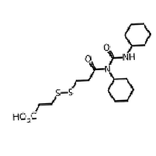 O=C(O)CCSSCCC(=O)N(C(=O)NC1CCCCC1)C1CCCCC1